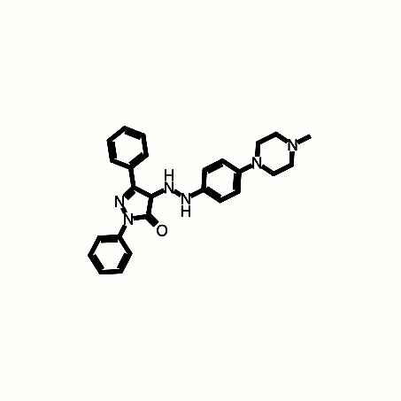 CN1CCN(c2ccc(NNC3C(=O)N(c4ccccc4)N=C3c3ccccc3)cc2)CC1